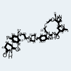 Cc1cc2cc(n1)-c1cnn(C)c1OCCC[C@@H](C)CN1/C(=N/C2=O)Nc2ccc(N3CCN(CCN(C)c4cc(F)c([C@H]5CCC(=O)NC5=O)c(F)c4)CC3)cc21